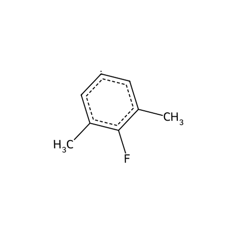 Cc1c[c]cc(C)c1F